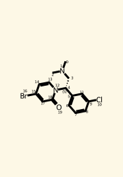 CN(C)C[C@H](c1cccc(Cl)c1)n1ccc(Br)cc1=O